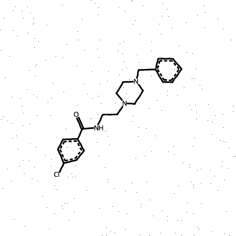 O=C(NCCN1CCN(Cc2ccccc2)CC1)c1ccc(Cl)cc1